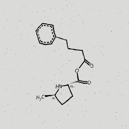 C[C@@H]1CC[C@@H](C(=O)OC(=O)CCCc2ccccc2)N1